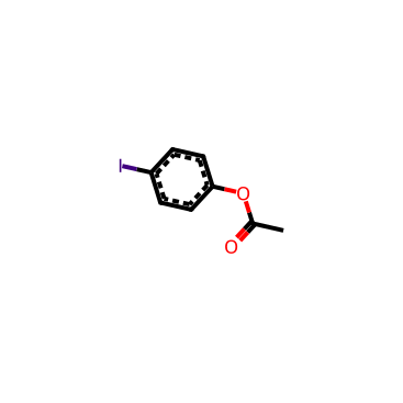 CC(=O)Oc1ccc(I)cc1